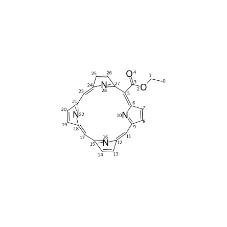 CCOC(=O)C1=C2C=CC(=N2)C=C2C=CC(=N2)C=C2C=CC(=N2)C=C2C=CC1=N2